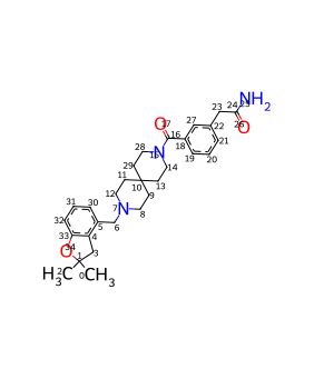 CC1(C)Cc2c(CN3CCC4(CC3)CCN(C(=O)c3cccc(CC(N)=O)c3)CC4)cccc2O1